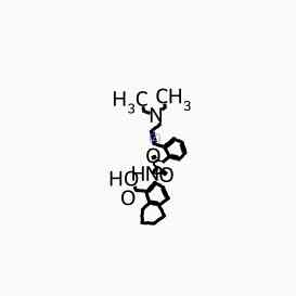 CCN(CC)C/C=C\c1ccccc1S(=O)(=O)Nc1ccc2c(c1C(=O)O)CCCC2